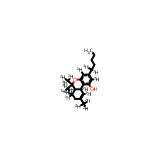 [2H]C1=C(C([2H])([2H])[2H])CC([2H])([2H])[C@@]2([2H])C(C([2H])([2H])[2H])(C([2H])([2H])[2H])Oc3c([2H])c(C([2H])([2H])CCCC)c([2H])c(O)c3[C@]12[2H]